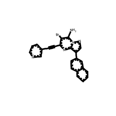 Nc1c(Br)c(C#Cc2cccnc2)nc2c(-c3ccc4ccccc4c3)cnn12